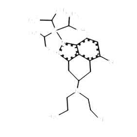 CCCN(CCC)C1Cc2nn([Si](C(C)C)(C(C)C)C(C)C)c3ccc(Br)c(c23)C1